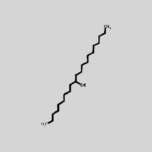 CCCCCCCCCCCC(S)CCCCCCCCC